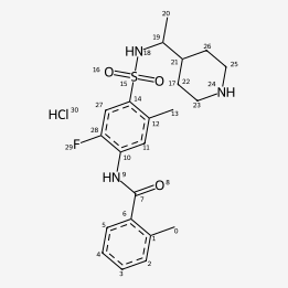 Cc1ccccc1C(=O)Nc1cc(C)c(S(=O)(=O)NC(C)C2CCNCC2)cc1F.Cl